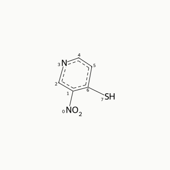 O=[N+]([O-])c1cnccc1S